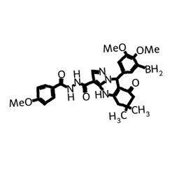 Bc1cc(C2C3=C(CC(C)(C)CC3=O)Nc3c(C(=O)NNC(=O)c4ccc(OC)cc4)cnn32)cc(OC)c1OC